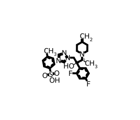 C=C1CCN([C@H](C)[C@](O)(Cn2cncn2)c2ccc(F)cc2F)CC1.Cc1ccc(S(=O)(=O)O)cc1